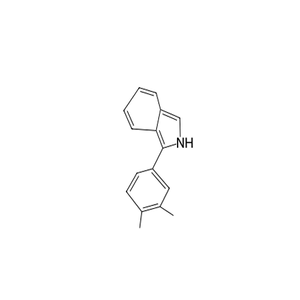 Cc1ccc(-c2[nH]cc3ccccc23)cc1C